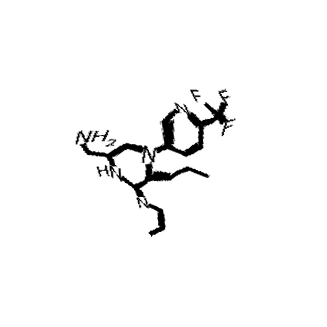 C\C=C/N=C1/NC(CN)CN(c2ccc(C(F)(F)F)nc2)/C1=C\CC